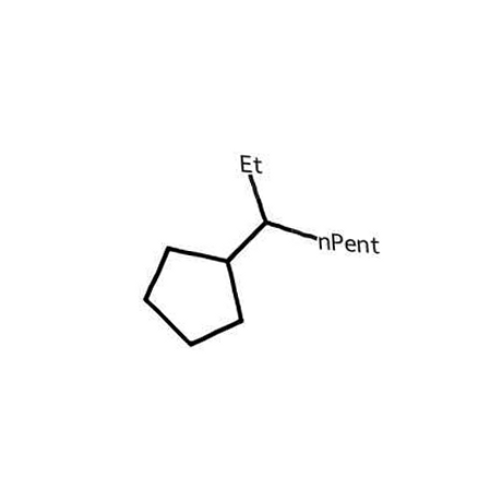 CCCCCC(CC)C1CCCC1